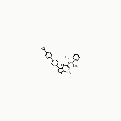 Cc1ccccc1C(C)OC(=O)Nc1c(C)nsc1C1CCC(c2ccc(C3CC3)cc2)CC1